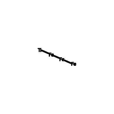 [Ti][Fe][Fe][Fe]